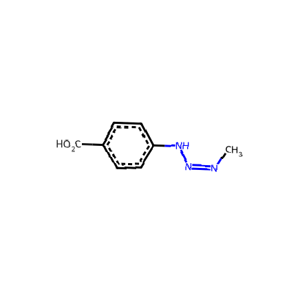 C/N=N\Nc1ccc(C(=O)O)cc1